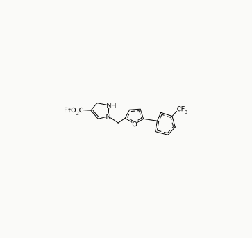 CCOC(=O)C1=CN(Cc2ccc(-c3cccc(C(F)(F)F)c3)o2)NC1